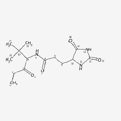 CCC(=O)C(NC(=O)CCC1NC(=O)NC1=O)C(C)(C)C